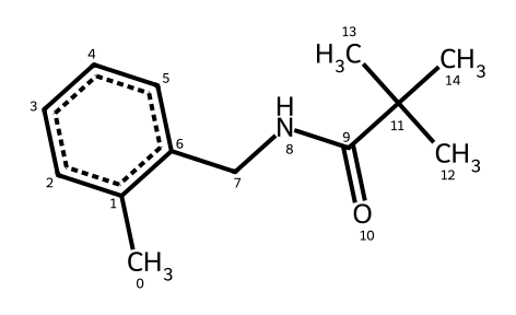 Cc1ccccc1CNC(=O)C(C)(C)C